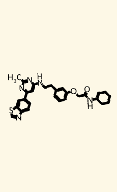 Cc1nc(NCCc2cccc(OCC(=O)NC3CCCCC3)c2)cc(-c2ccc3ncsc3c2)n1